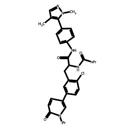 CCCC(=O)NC(Cc1cc(-c2ccc(=O)n(C(C)C)c2)ccc1Cl)C(=O)Nc1ccc(-c2c(C)cnn2C)cc1